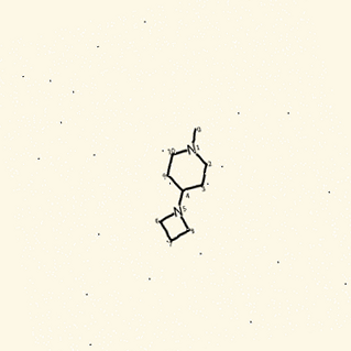 CN1CCC(N2C[CH]C2)CC1